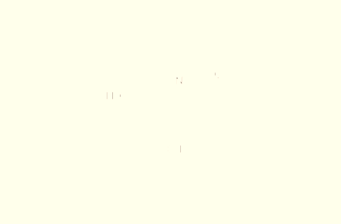 CCC1CN(CC)CC1C